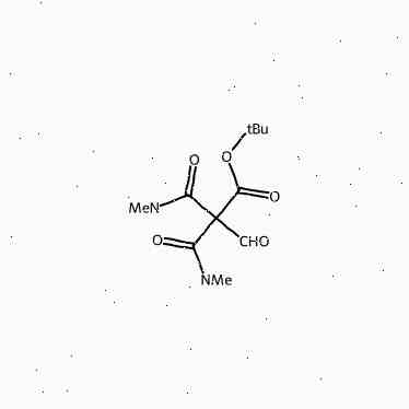 CNC(=O)C(C=O)(C(=O)NC)C(=O)OC(C)(C)C